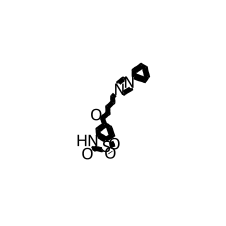 O=C1CS(=O)(=O)c2ccc(C(=O)CCCCN3CCN(c4ccccc4)CC3)cc2N1